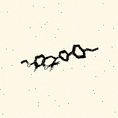 CCCc1ccc(-c2ccc(C3Cc4ccc(OCC)c(F)c4OC3(F)F)cc2)cc1